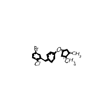 C[C@@H]1C[C@H](Oc2ccc(Cc3cc(Br)ccc3Cl)cc2)C[C@@H]1C